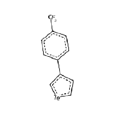 FC(F)(F)c1ccc(-c2cc[te]c2)cc1